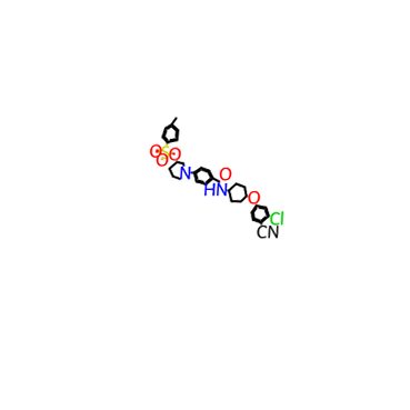 Cc1ccc(S(=O)(=O)OC2CCCN(c3ccc(C(=O)NC4CCC(Oc5ccc(C#N)c(Cl)c5)CC4)cc3)C2)cc1